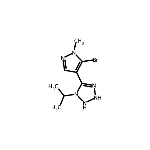 CC(C)N1NNN=C1c1cnn(C)c1Br